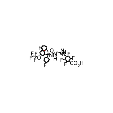 O=C(NCc1cn(-c2c(F)c(F)c(C(=O)O)c(F)c2F)nn1)N[C@](Cc1ccccc1)(c1ccc(F)cc1)c1cc(F)cc(OC(F)(F)C(F)F)c1